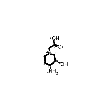 N[C@H]1CCN(CC(=O)O)C[C@H]1O